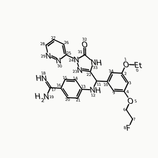 CCOc1cc(OCCF)cc(C(Nc2ccc(C(=N)N)cc2)c2nn(-c3cccnn3)c(=O)[nH]2)c1